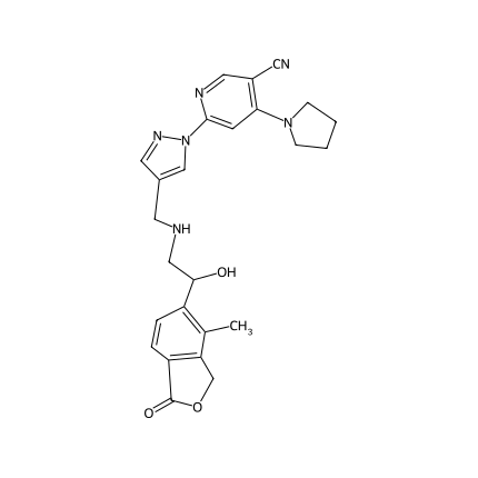 Cc1c(C(O)CNCc2cnn(-c3cc(N4CCCC4)c(C#N)cn3)c2)ccc2c1COC2=O